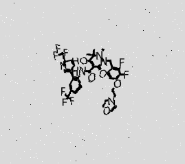 CN1N(Cc2ccc(OCCN3CCOCC3)c(F)c2F)C(=O)C(C(=O)Nc2ccc(C(F)(F)F)cc2-c2ccc(C(F)(F)F)nc2)=C(O)C1(C)C